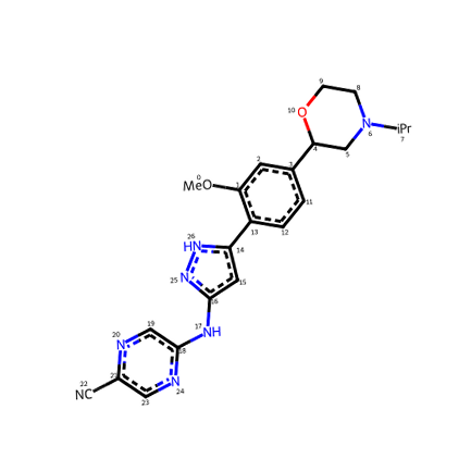 COc1cc(C2CN(C(C)C)CCO2)ccc1-c1cc(Nc2cnc(C#N)cn2)n[nH]1